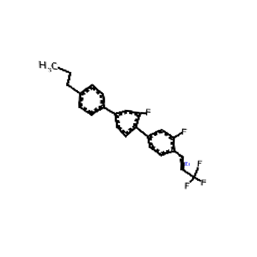 CCCc1ccc(-c2ccc(-c3ccc(/C=C/C(F)(F)F)c(F)c3)c(F)c2)cc1